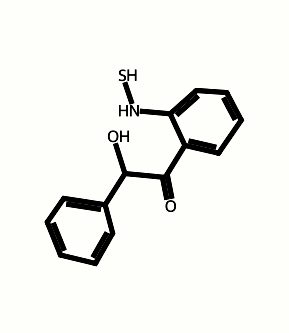 O=C(c1ccccc1NS)C(O)c1ccccc1